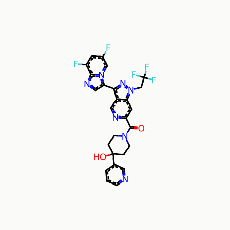 O=C(c1cc2c(cn1)c(-c1cnc3c(F)cc(F)cn13)nn2CC(F)(F)F)N1CCC(O)(c2cccnc2)CC1